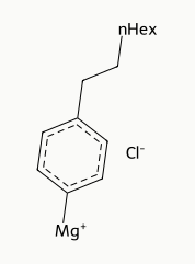 CCCCCCCCc1cc[c]([Mg+])cc1.[Cl-]